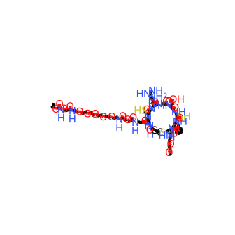 C=C(C)OC(=O)NOCC(=O)NCCOCCOCCOCCOCCOCCNC(=O)COCC(=O)NCCCC[C@@H]1NC(=O)CCCSC[C@@H](C(=O)NCCOCCOC)NC(=O)[C@H](Cc2ccccc2)NC(=O)[C@H](CS)NC(=O)[C@H](CC(=O)O)NC(=O)CNC(=O)[C@H](CCCNC(=N)N)NC(=O)[C@H](CS)NC1=O